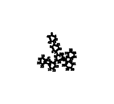 c1ccc(-c2ccc(-c3cc(-c4cccc5c4sc4ccccc45)cc(-n4c5ccccc5c5ccccc54)n3)cc2)cc1